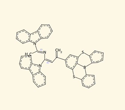 C=C(/C=C(\N=C(/C)n1c2ccccc2c2ccccc21)n1c2ccccc2c2ccccc21)c1cc2c3c(c1)Sc1ccccc1B3c1ccccc1S2